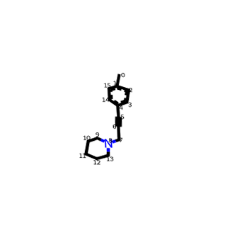 Cc1ccc(C#CCN2CCCCC2)cc1